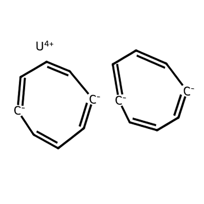 [C-]1=C\C=C/[C-]=C\C=C/1.[C-]1=C\C=C/[C-]=C\C=C/1.[U+4]